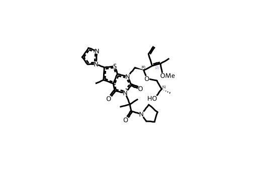 C=C/C(=C(\C)OC)[C@H](Cn1c(=O)n(C(C)(C)C(=O)N2CCCC2)c(=O)c2c(C)c(-n3cccn3)sc21)OC[C@H](C)O